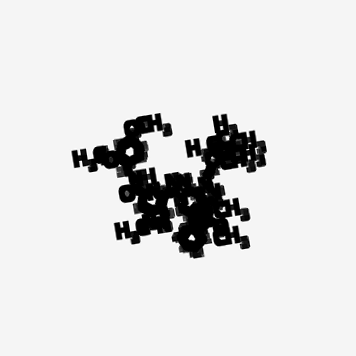 COc1ccc(Cn2c(-c3nc(C(=O)NCc4ccc(OC)cc4OC)cc4c3cnn4C)nnc2-c2c(OCc3ccccc3)c(C)nn2CCO[Si](C)(C)C(C)(C)C)cc1